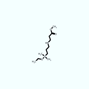 CCO[Si](C)(C)CCCNCCC(=O)OC